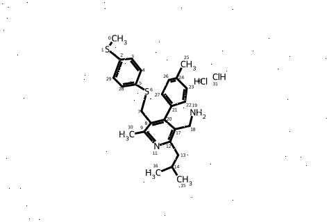 CSc1ccc(SCc2c(C)nc(CC(C)C)c(CN)c2-c2ccc(C)cc2)cc1.Cl.Cl